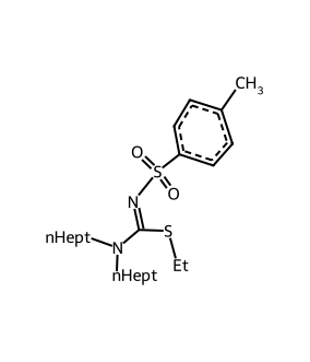 CCCCCCCN(CCCCCCC)C(=NS(=O)(=O)c1ccc(C)cc1)SCC